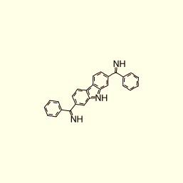 N=C(c1ccccc1)c1ccc2c(c1)[nH]c1cc(C(=N)c3ccccc3)ccc12